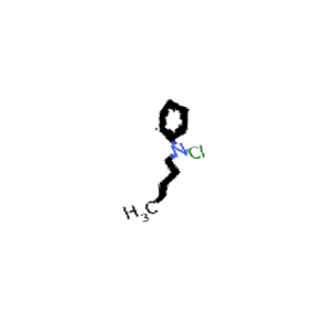 CCCCCN(Cl)c1[c]cccc1